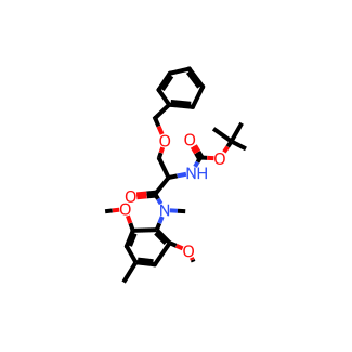 COc1cc(C)cc(OC)c1N(C)C(=O)C(COCc1ccccc1)NC(=O)OC(C)(C)C